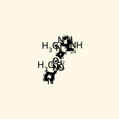 CN(Cc1cccnc1)S(=O)(=O)C[C@H]1C[C@@H](N(C)c2ncnc3[nH]ccc23)C1